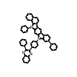 c1ccc(-c2ccc3c4cc5c6ccc7ccccc7c6n(-c6ccccc6)c5cc4n(-c4ccc(-c5nc6ccccc6nc5-c5ccccc5)cc4)c3c2)cc1